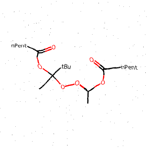 CCCCCC(=O)OC(C)OOC(C)(OC(=O)CCCCC)C(C)(C)C